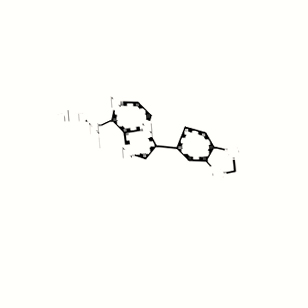 CCCNc1nccn2c(-c3ccc4c(c3)OCO4)cnc12